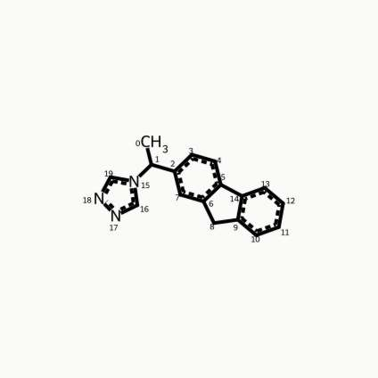 CC(c1ccc2c(c1)Cc1ccccc1-2)n1cnnc1